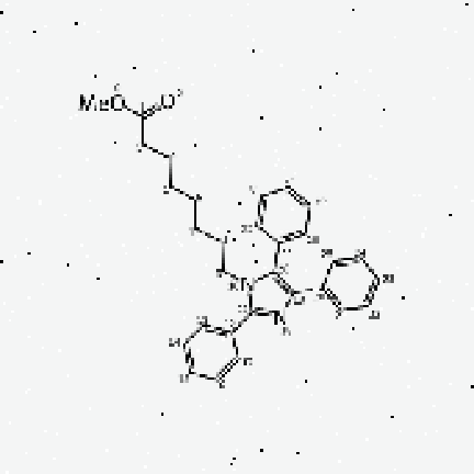 COC(=O)CCCCCCCn1c(-c2ccccc2)nc(-c2ccccc2)c1-c1ccccc1